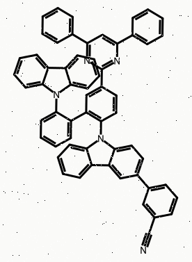 N#Cc1cccc(-c2ccc3c(c2)c2ccccc2n3-c2ccc(-c3nc(-c4ccccc4)cc(-c4ccccc4)n3)cc2-c2ccccc2-n2c3ccccc3c3ccccc32)c1